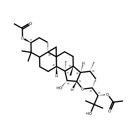 CC(=O)O[C@H]1CC[C@]23CC24CC[C@]2(C)[C@@H]5[C@H](O[C@@H]([C@H](OC(C)=O)C(C)(C)O)C[C@H]5C)[C@H](O)[C@@]2(C)[C@@H]4CCC3C1(C)C